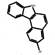 Brc1ccc2c(ccc3[nH]c4ccccc4c32)c1